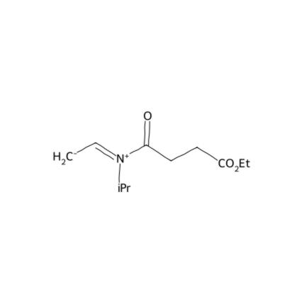 [CH2-]/C=[N+](/C(=O)CCC(=O)OCC)C(C)C